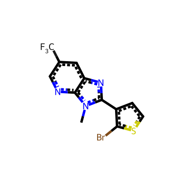 Cn1c(-c2ccsc2Br)nc2cc(C(F)(F)F)cnc21